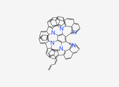 C=C/C=C\c1ccc2c3ccccc3n(-c3c(-n4c5ccccc5c5ccc6ccccc6c54)c(C#N)c(C#N)c(-n4c5ccccc5c5ccc6ccccc6c54)c3-n3c4ccccc4c4ccc5ccccc5c43)c2c1C